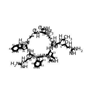 CC(=O)N[C@H](CCCNC(=N)N)C(=O)N[C@H]1CSSC(C)(C)[C@@H](C(N)=O)NC(=O)CCCNC(=O)[C@H](Cc2c[nH]c3ccccc23)NC(=O)[C@H](CCCNC(=N)N)NC(=O)[C@@H](Cc2ccccc2)NC(=O)[C@H](Cc2c[nH]cn2)NC1=O